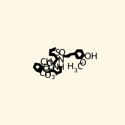 COc1cc(/C=C/C(=O)NC(C(=O)N2CCCC2C(=O)OC2CC3CCC2(C)C3(C)C)c2cccs2)ccc1O